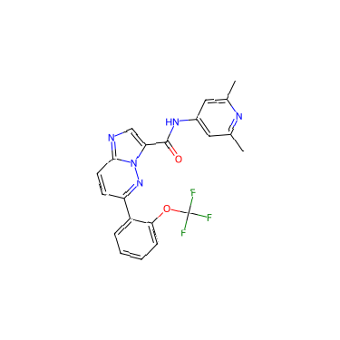 Cc1cc(NC(=O)c2cnc3ccc(-c4ccccc4OC(F)(F)F)nn23)cc(C)n1